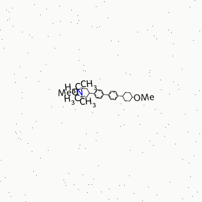 COC1CCC(c2ccc(-c3ccc(C4CC(C)(C)N(OC)C(C)(C)C4)cc3)cc2)CC1